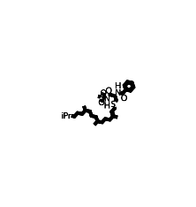 C/C(=C\CSCC(NC(=O)c1ccccc1)C(=O)NS(C)(=O)=O)CCCC(C)CCCC(C)CCCC(C)C